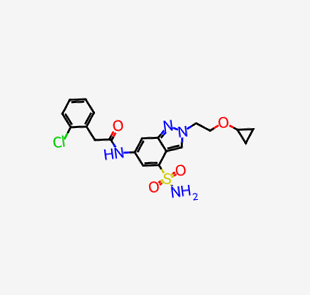 NS(=O)(=O)c1cc(NC(=O)Cc2ccccc2Cl)cc2nn(CCOC3CC3)cc12